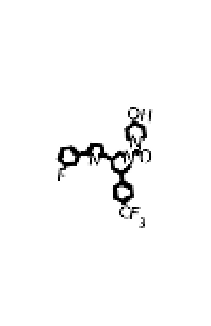 O=C(N1CCC(O)CC1)N1CC(C2=NC(c3cccc(F)c3)=CC2)CC(c2ccc(C(F)(F)F)cc2)C1